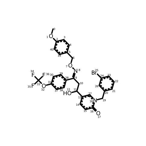 COc1ccc(CON=C(CC(O)c2ccc(=O)n(Cc3cccc(Br)c3)c2)c2ccc(OC(F)(F)F)cc2)cc1